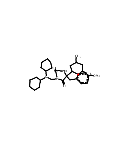 COc1ccc(CC2(C3CC(C)CC(C)C3)NC(=O)N(CN(C3CCCCC3)C3CCCCC3)C2=O)cc1